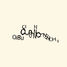 CC(C)COc1ccc(Cl)cc1Cc1ccc(-c2nc3ccc(CN4CCN(C)CC4)cc3[nH]2)o1